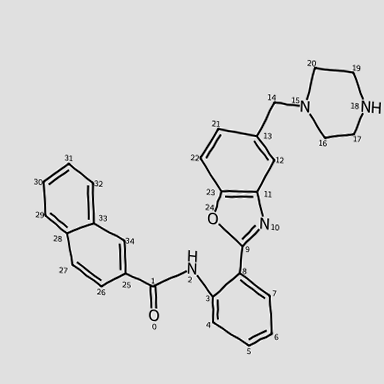 O=C(Nc1ccccc1-c1nc2cc(CN3CCNCC3)ccc2o1)c1ccc2ccccc2c1